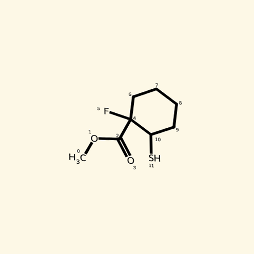 COC(=O)C1(F)CCCCC1S